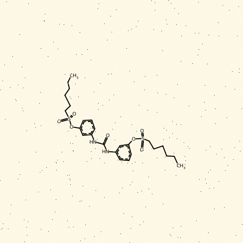 CCCCCCS(=O)(=O)Oc1cccc(NC(=O)Nc2cccc(OS(=O)(=O)CCCCCC)c2)c1